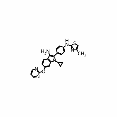 Cc1csc(Nc2ccc(-c3c(N)c4ccc(Oc5ncccn5)cc4n3C3CC3)cc2)n1